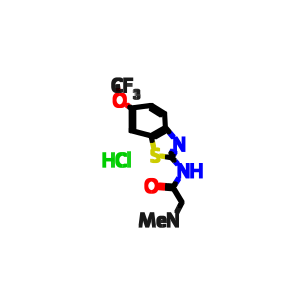 CNCC(=O)Nc1nc2ccc(OC(F)(F)F)cc2s1.Cl